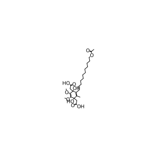 COC1=C(OC)C(O)(CC(=O)O)C(CCCCCCCCCCCCOC(C)=O)=C(C)C1(O)CC(=O)O